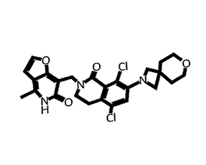 Cc1[nH]c(=O)c(CN2CCc3c(Cl)cc(N4CC5(CCOCC5)C4)c(Cl)c3C2=O)c2occc12